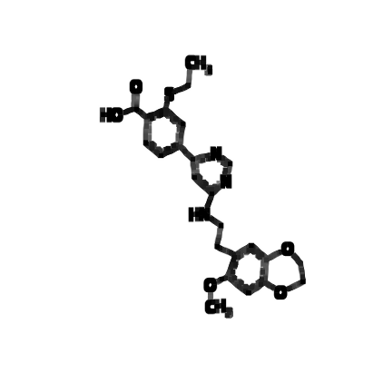 CCSc1cc(-c2cc(NCCc3cc4c(cc3OC)OCCO4)ncn2)ccc1C(=O)O